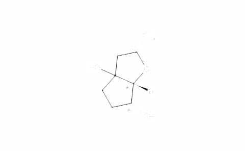 B[C@H]1CC2(O)CC[C@@H](O)[C@H]2O1